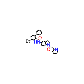 CCc1ccc(-c2ccccc2)c(C(=O)Nc2ccc3c(c2)CCN3C(=O)Cc2ccccn2)c1